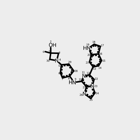 CC1(O)CN(c2ccc(Nc3nc(-c4ccc5cc[nH]c5c4)cn4ccnc34)cc2)C1